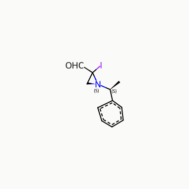 C[C@@H](c1ccccc1)[N@@]1CC1(I)C=O